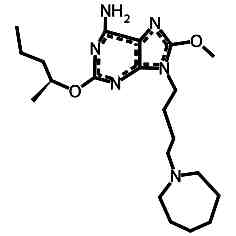 CCC[C@H](C)Oc1nc(N)c2nc(OC)n(CCCCN3CCCCCC3)c2n1